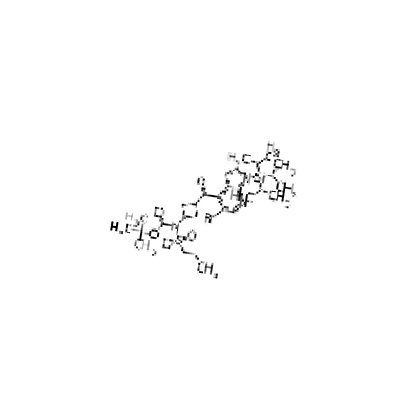 CCCS(=O)(=O)N(C(=O)OC(C)(C)C)C1CC(C(=O)c2c(Br)cnc3c2ccn3[Si](C(C)C)(C(C)C)C(C)C)C1